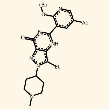 CCCCOc1ncc(C(C)=O)cc1-c1nc(=O)c2nn(C3CCN(C)CC3)c(CC)c2[nH]1